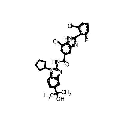 CC(C)(O)c1ccc2c(c1)nc(NC(=O)c1cc(Cl)c3[nH]c(-c4c(F)cccc4Cl)nc3c1)n2C1CCCC1